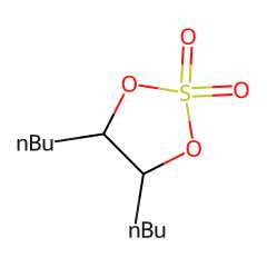 CCCCC1OS(=O)(=O)OC1CCCC